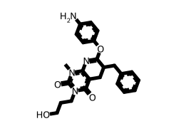 Cn1c2c(c(=O)n(CCCO)c1=O)CC(Cc1ccccc1)C(Oc1ccc(N)cc1)=N2